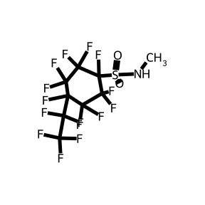 CNS(=O)(=O)C1(F)C(F)(F)C(F)(F)C(F)(C(F)(F)C(F)(F)F)C(F)(F)C1(F)F